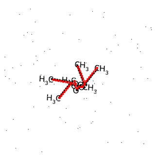 CCCCCCCCCCCCCCCCN(CCCCCCCCCCCCCCCC)CCC(CC)OC(=O)C1CC(C=O)C[C@@H](C(=O)OC(CC)CCN(CCCCCCCCCCCCCCCC)CCCCCCCCCCCCCCCC)C1